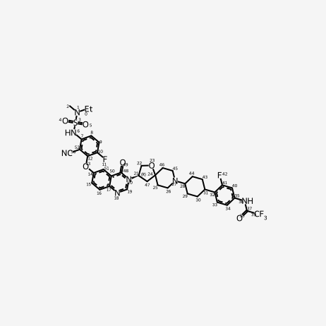 CCN(C)S(=O)(=O)Nc1ccc(F)c(Oc2ccc3ncn([C@H]4COC5(CCN(C6CCC(c7ccc(NC(=O)C(F)(F)F)cc7F)CC6)CC5)C4)c(=O)c3c2)c1C#N